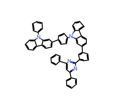 c1ccc(-c2cc(-c3ccccc3)nc(-c3cccc(-c4ccc5c6ccccc6n(-c6ccc(-c7ccc8c9ccccc9n(-c9ccccc9)c8c7)cc6)c5c4)c3)n2)cc1